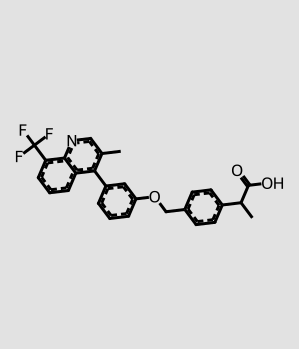 Cc1cnc2c(C(F)(F)F)cccc2c1-c1cccc(OCc2ccc(C(C)C(=O)O)cc2)c1